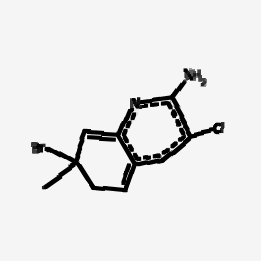 CC1(Br)C=c2nc(N)c(Cl)cc2=CC1